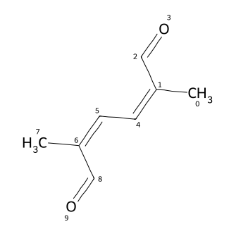 C/C(C=O)=C/C=C(/C)C=O